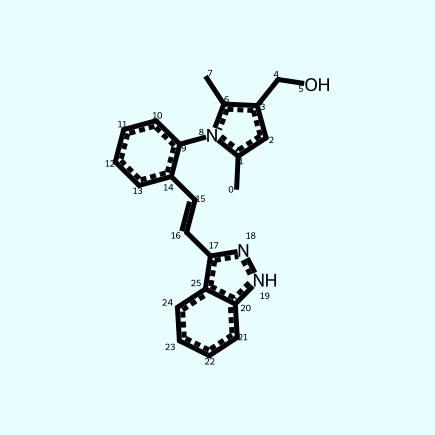 Cc1cc(CO)c(C)n1-c1ccccc1C=Cc1n[nH]c2ccccc12